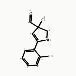 O=CC1(Cl)C=C(c2ccccc2F)NC1